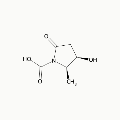 C[C@@H]1[C@H](O)CC(=O)N1C(=O)O